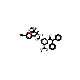 COC(=O)[C@@H]1C[C@H](C(=O)NC(C)(Cc2ccc(C#N)cc2)c2cnc[nH]2)CN(C(=O)C(c2ccccc2)c2ccccc2)C1